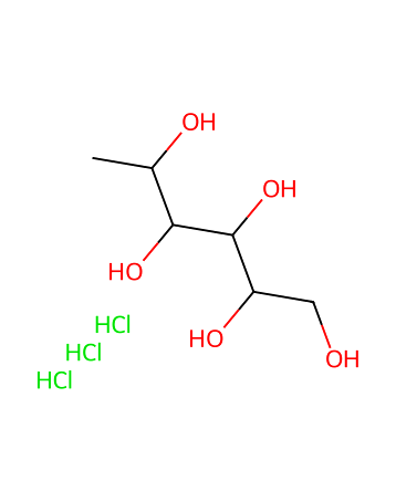 CC(O)C(O)C(O)C(O)CO.Cl.Cl.Cl